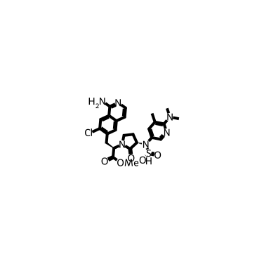 COC(=O)[C@@H](Cc1cc2ccnc(N)c2cc1Cl)N1CC[C@H](N(c2cnc(N(C)C)c(C)c2)[SH](=O)=O)C1=O